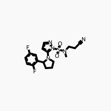 CN(CCC#N)S(=O)(=O)n1nccc1N1CCCC1c1cc(F)ccc1F